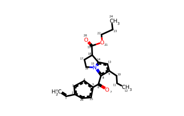 C=Cc1ccc(C(=O)c2c(CCC)cc3n2CCC3C(=O)OCCC)cc1